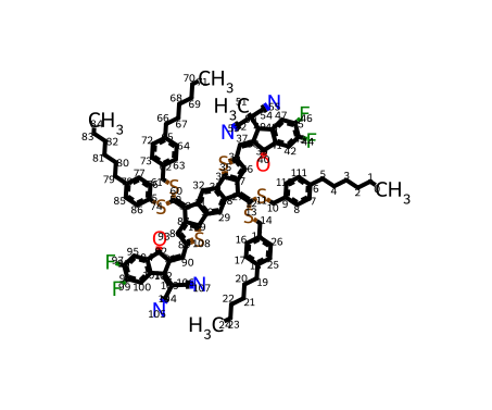 CCCCCCc1ccc(CSC(SCc2ccc(CCCCCC)cc2)=C2c3cc4c(cc3-c3sc(/C=C5\C(=O)c6cc(F)c(F)cc6C5C(C)(C#N)C#N)cc32)/C(=C(\SCc2ccc(CCCCCC)cc2)Sc2ccc(CCCCCC)cc2)c2cc(/C=C3\C(=O)c5cc(F)c(F)cc5C3=C(C#N)C#N)sc2-4)cc1